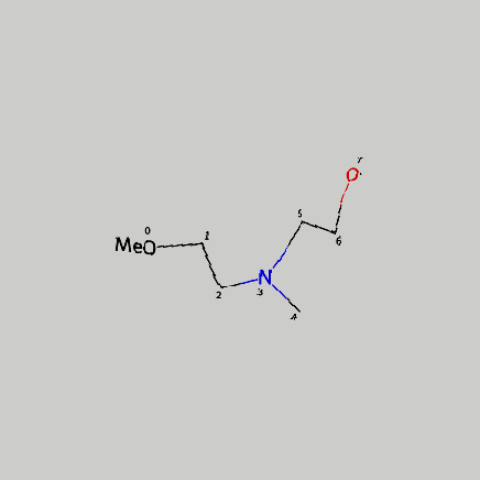 COCCN(C)CC[O]